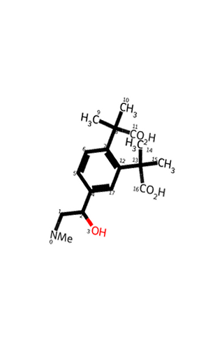 CNCC(O)c1ccc(C(C)(C)C(=O)O)c(C(C)(C)C(=O)O)c1